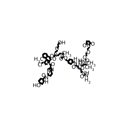 Cc1cccc2c(OC(=O)N(CCOCCO)CCN(C)C(=O)OCc3ccc(NC(=O)[C@H](/C=C/CNC(N)=O)NC(=O)[C@@H](NC(=O)OCCOCCN4C(=O)C=CC4=O)C(C)C)cc3)cc3c(c12)[C@H](CCl)CN3C(=O)c1cn2cc(NC(=O)c3ccc(O)cc3)ccc2n1